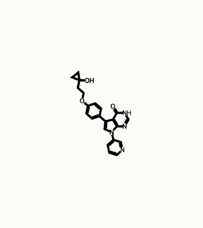 O=c1[nH]cnc2c1c(-c1ccc(OCCC3(O)CC3)cc1)cn2-c1cccnc1